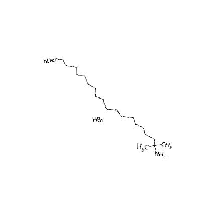 Br.CCCCCCCCCCCCCCCCCCCCCCCCCCCC(C)(C)N